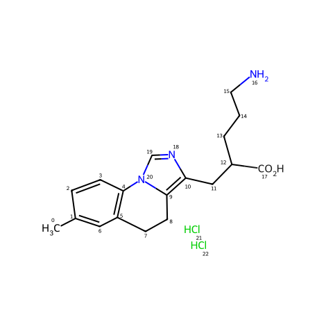 Cc1ccc2c(c1)CCc1c(CC(CCCN)C(=O)O)ncn1-2.Cl.Cl